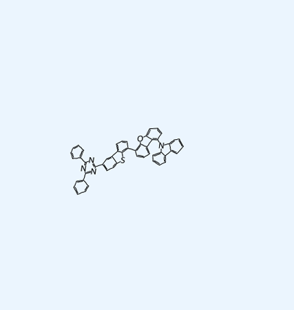 c1ccc(-c2nc(-c3ccccc3)nc(-c3ccc4sc5c(-c6cccc7c6oc6cccc(-n8c9ccccc9c9ccccc98)c67)cccc5c4c3)n2)cc1